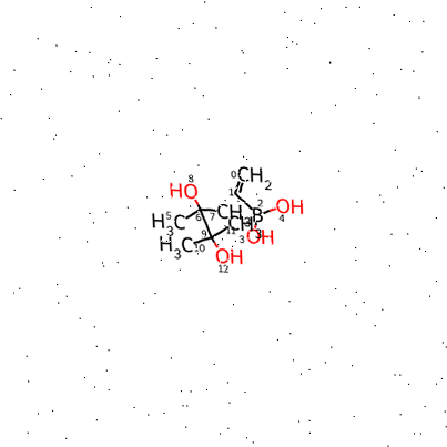 C=CB(O)O.CC(C)(O)C(C)(C)O